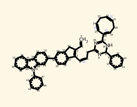 C=CC1=C(/C=C\CC2=NC(c3ccccc3)NC(C3=C/C/C=C\C/C=C\3)=N2)c2ccc(-c3ccc4c5ccccc5n(-c5ccccc5)c4c3)cc2C1